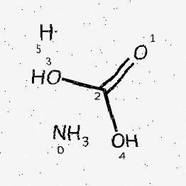 N.O=C(O)O.[H]